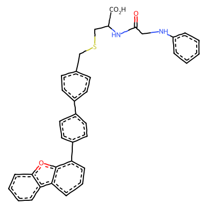 O=C(CNc1ccccc1)NC(CSCc1ccc(-c2ccc(-c3cccc4c3oc3ccccc34)cc2)cc1)C(=O)O